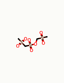 CS(=O)(=O)COS(=O)(=O)CS(C)(=O)=O